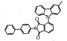 Cc1ccc2c(c1)c1ccccc1n2-c1cccc2c1C(=O)N(c1ccc(-c3ccccc3)cc1)C2=O